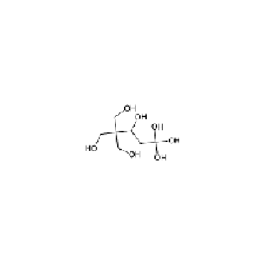 OCC(CO)(CO)C(O)CC(O)(O)O